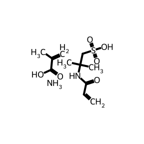 C=C(C)C(=O)O.C=CC(=O)NC(C)(C)CS(=O)(=O)O.N